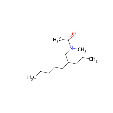 CCCCCC(CCC)CN(C)C(C)=O